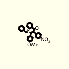 COc1ccc(-c2c(-c3ccc([N+](=O)[O-])cc3)c(=O)c3ccccc3n2Cc2ccccc2)cc1